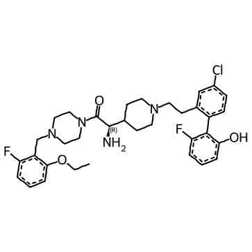 CCOc1cccc(F)c1CN1CCN(C(=O)[C@H](N)C2CCN(CCc3cc(Cl)ccc3-c3c(O)cccc3F)CC2)CC1